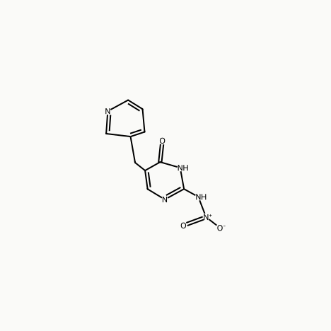 O=c1[nH]c(N[N+](=O)[O-])ncc1Cc1cccnc1